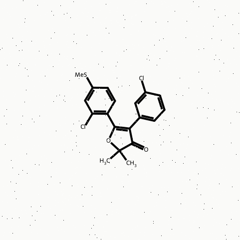 CSc1ccc(C2=C(c3cccc(Cl)c3)C(=O)C(C)(C)O2)c(Cl)c1